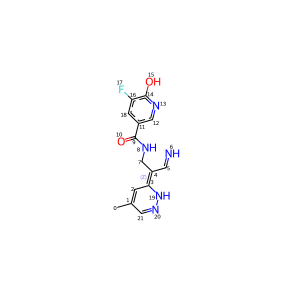 CC1=C/C(=C(/C=N)CNC(=O)c2cnc(O)c(F)c2)NN=C1